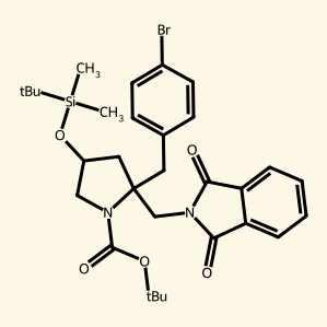 CC(C)(C)OC(=O)N1CC(O[Si](C)(C)C(C)(C)C)CC1(Cc1ccc(Br)cc1)CN1C(=O)c2ccccc2C1=O